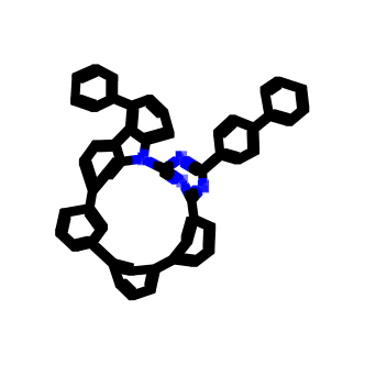 c1ccc(-c2ccc(-c3nc4nc(n3)-n3c5cc(ccc5c5c(-c6ccccc6)cccc53)-c3cccc(c3)-c3cccc(c3)-c3cccc-4c3)cc2)cc1